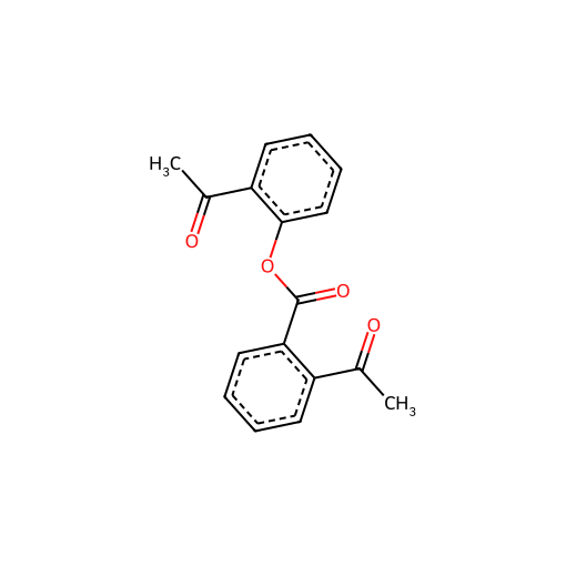 CC(=O)c1ccccc1OC(=O)c1ccccc1C(C)=O